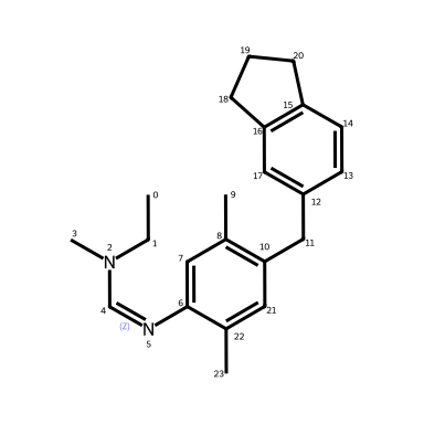 CCN(C)/C=N\c1cc(C)c(Cc2ccc3c(c2)CCC3)cc1C